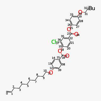 C=CCCCCCCCCCOc1ccc(C(=O)Oc2ccc(C(=O)Oc3ccc(OCC(C)CC)cc3)cc2Cl)cc1